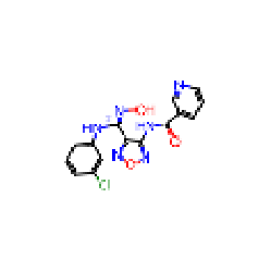 O=C(Nc1nonc1/C(=N\O)Nc1cccc(Cl)c1)c1cccnc1